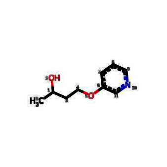 CC(O)CCOc1cccnc1